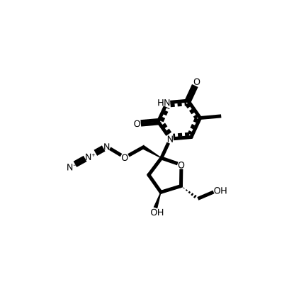 Cc1cn([C@@]2(CON=[N+]=[N-])C[C@H](O)[C@@H](CO)O2)c(=O)[nH]c1=O